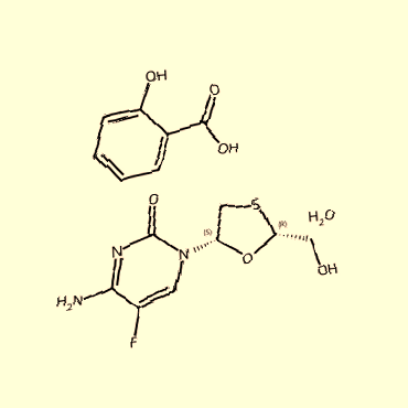 Nc1nc(=O)n([C@@H]2CS[C@H](CO)O2)cc1F.O.O=C(O)c1ccccc1O